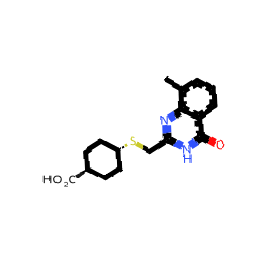 Cc1cccc2c(=O)[nH]c(CS[C@H]3CC[C@H](C(=O)O)CC3)nc12